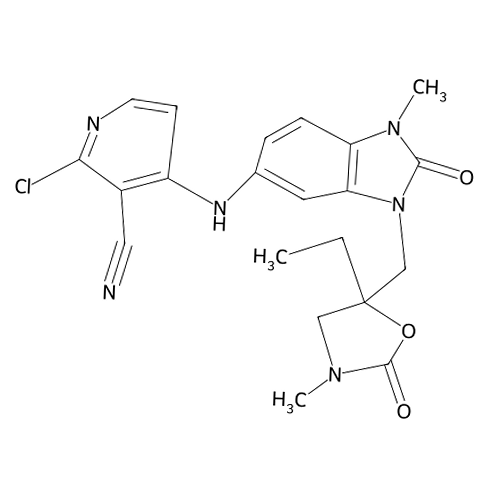 CCC1(Cn2c(=O)n(C)c3ccc(Nc4ccnc(Cl)c4C#N)cc32)CN(C)C(=O)O1